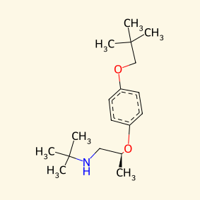 C[C@@H](CNC(C)(C)C)Oc1ccc(OCC(C)(C)C)cc1